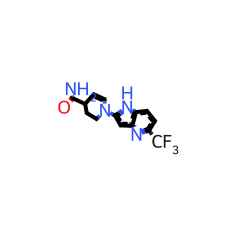 NC(=O)C1C=CN(c2cc3nc(C(F)(F)F)ccc3[nH]2)CC1